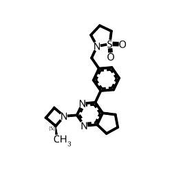 C[C@H]1CCN1c1nc2c(c(-c3cccc(CN4CCCS4(=O)=O)c3)n1)CCC2